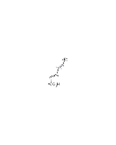 CC/C=C/C=CC(=O)O